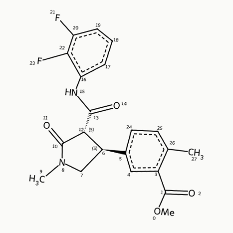 COC(=O)c1cc([C@H]2CN(C)C(=O)[C@@H]2C(=O)Nc2cccc(F)c2F)ccc1C